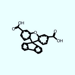 O=C(O)c1ccc2c(c1)Oc1cc(C(=O)O)ccc1C21c2ccccc2-c2ccccc21